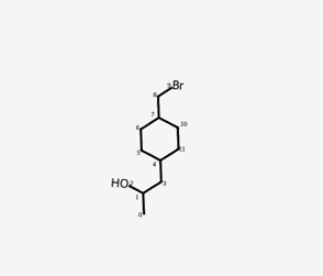 CC(O)CC1CCC(CBr)CC1